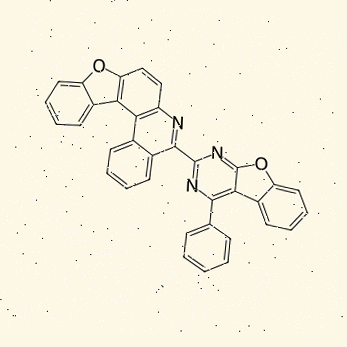 c1ccc(-c2nc(-c3nc4ccc5oc6ccccc6c5c4c4ccccc34)nc3oc4ccccc4c23)cc1